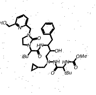 CCC(C)C(C(=O)NC(Cc1ccccc1)C(O)CN(CC1CC1)NC(=O)C(NC(=O)OC)C(C)(C)C)N1CCN(Cc2cccc(CO)n2)C1=O